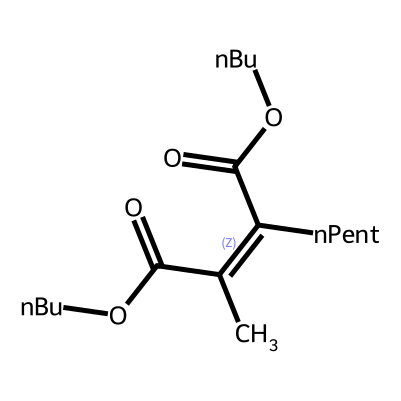 CCCCC/C(C(=O)OCCCC)=C(\C)C(=O)OCCCC